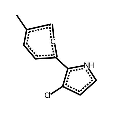 Cc1ccc(-c2[nH]ccc2Cl)cc1